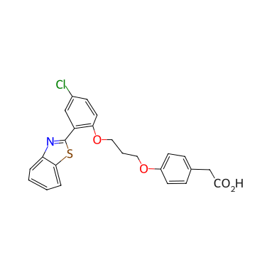 O=C(O)Cc1ccc(OCCCOc2ccc(Cl)cc2-c2nc3ccccc3s2)cc1